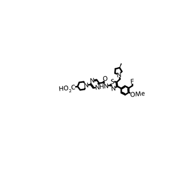 COc1ccc(-c2nc(NC(=O)c3cnc(N4CCC(C(=O)O)CC4)cn3)sc2CN2CC[C@@H](C)C2)cc1CF